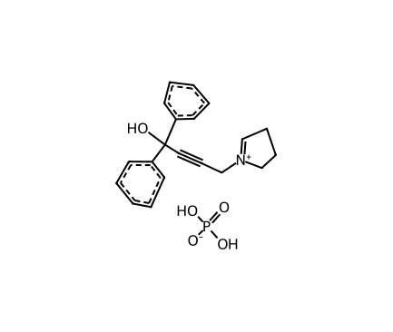 O=P([O-])(O)O.OC(C#CC[N+]1=CCCC1)(c1ccccc1)c1ccccc1